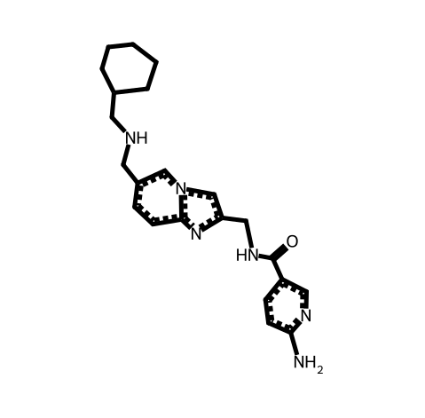 Nc1ccc(C(=O)NCc2cn3cc(CNCC4CCCCC4)ccc3n2)cn1